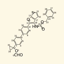 O=COC1(c2ccc(-c3ccc(-c4oc5sccc5c4NC(=O)OCc4ccccc4)cc3)cc2)CC1